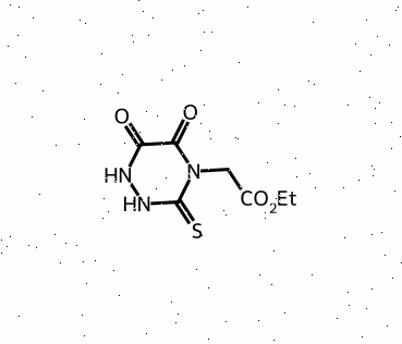 CCOC(=O)Cn1c(=S)[nH][nH]c(=O)c1=O